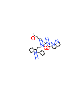 CC(=O)CCCCCC(NC(=O)c1ccc2cccnc2n1)C(=O)NCCc1c(-c2ccccc2)[nH]c2ccccc12